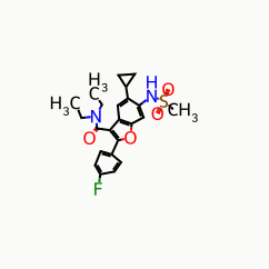 CCN(CC)C(=O)c1c(-c2ccc(F)cc2)oc2cc(NS(C)(=O)=O)c(C3CC3)cc12